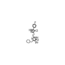 CC(C)c1c(CC2CCCCC2)nc(SCc2n[nH]c(-c3ccc(F)cc3)c2Cl)[nH]c1=O